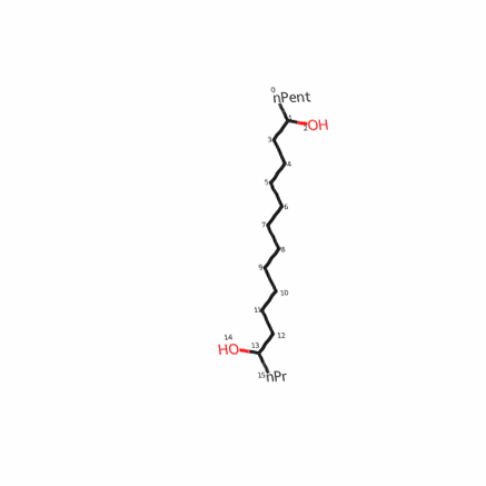 CCCCCC(O)CCCCCCCCCCC(O)CCC